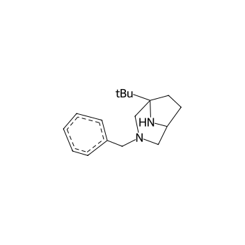 CC(C)(C)C12CCC(CN(Cc3ccccc3)C1)N2